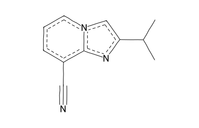 CC(C)c1cn2cccc(C#N)c2n1